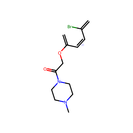 C=C(Br)/C=C\C(=C)OCC(=O)N1CCN(C)CC1